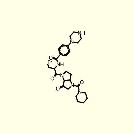 CC(C)CC(NC(=O)c1ccc(N2CCNCC2)cc1)C(=O)N1CCC2C1C(=O)CN2C(=O)N1CCCCC1